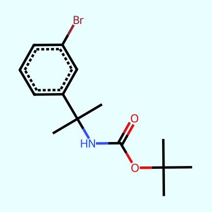 CC(C)(C)OC(=O)NC(C)(C)c1cccc(Br)c1